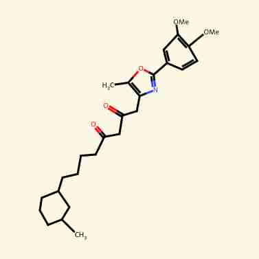 COc1ccc(-c2nc(CC(=O)CC(=O)CCCCC3CCCC(C)C3)c(C)o2)cc1OC